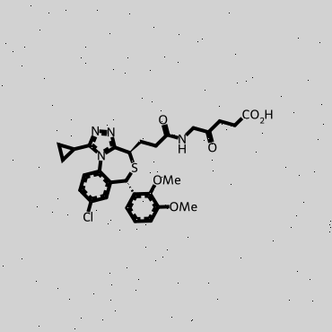 COc1cccc([C@H]2S[C@H](CCC(=O)NCC(=O)CCC(=O)O)c3nnc(C4CC4)n3-c3ccc(Cl)cc32)c1OC